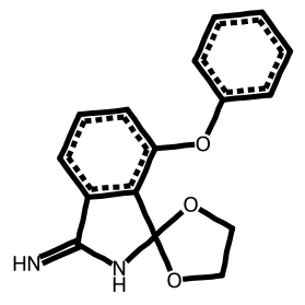 N=C1NC2(OCCO2)c2c(Oc3ccccc3)cccc21